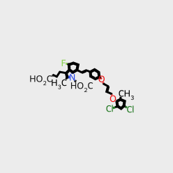 Cc1cc(Cl)cc(Cl)c1OCC=CCOc1ccc(C=Cc2ccc(F)c3c(CCCC(=O)O)c(C)n(CC(=O)O)c23)cc1